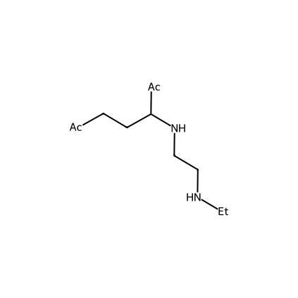 CCNCCNC(CCC(C)=O)C(C)=O